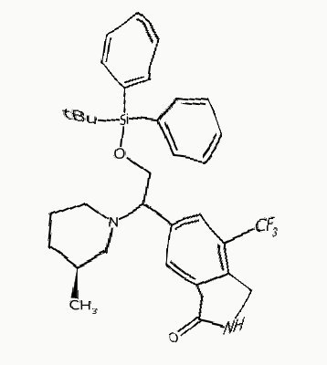 C[C@H]1CCCN(C(CO[Si](c2ccccc2)(c2ccccc2)C(C)(C)C)c2cc3c(c(C(F)(F)F)c2)CNC3=O)C1